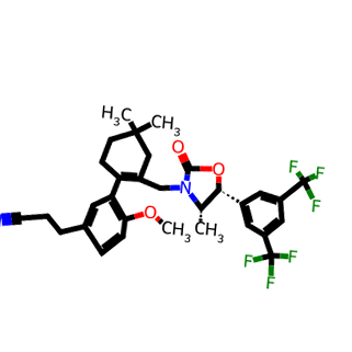 COc1ccc(CCC#N)cc1C1=C(CN2C(=O)O[C@H](c3cc(C(F)(F)F)cc(C(F)(F)F)c3)[C@@H]2C)CC(C)(C)CC1